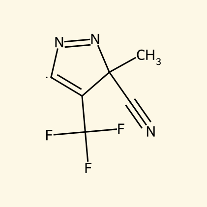 CC1(C#N)N=N[C]=C1C(F)(F)F